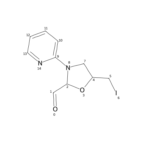 O=CC1OC(CI)CN1c1ccccn1